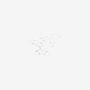 CCc1c(-n2c3ccccc3c3c4ccccc4ccc32)nc2ccccc2c1-n1c2cc3ccccc3cc2c2c3c4ccccc4n4c5ccccc5c(cc21)c34